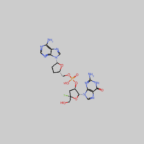 Nc1nc2c(ncn2[C@@H]2O[C@](F)(CO)C[C@H]2OP(=O)(O)OC[C@@H]2CC[C@H](n3cnc4c(N)ncnc43)O2)c(=O)[nH]1